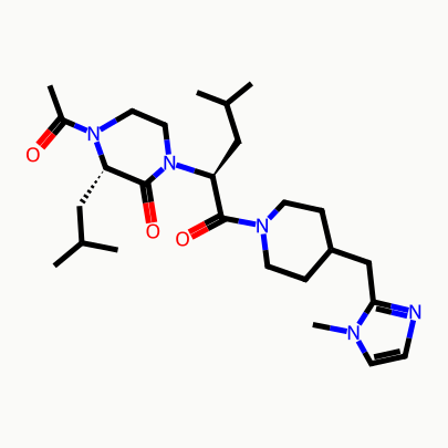 CC(=O)N1CCN([C@@H](CC(C)C)C(=O)N2CCC(Cc3nccn3C)CC2)C(=O)[C@@H]1CC(C)C